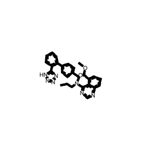 CCCN(Cc1ccc(-c2ccccc2-c2nnn[nH]2)cc1)c1ncnc2cccc(C(=O)OC)c12